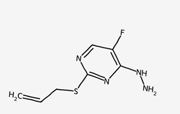 C=CCSc1ncc(F)c(NN)n1